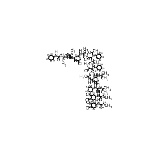 CC(C)N(C(=O)CCl)c1ccccc1.CC(C)N(C(=O)CCl)c1ccccc1.CC(C)Nc1nc(Cl)nc(NC(C)C)n1.CC(C)Nc1nc(Cl)nc(NC(C)C)n1.CC(C)OC(=O)Nc1ccccc1.CC(C)OC(=O)Nc1ccccc1.CCC(=O)Nc1ccc(Cl)c(Cl)c1.CCC(=O)Nc1ccc(Cl)c(Cl)c1